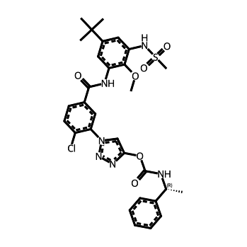 COc1c(NC(=O)c2ccc(Cl)c(-n3cc(OC(=O)N[C@H](C)c4ccccc4)nn3)c2)cc(C(C)(C)C)cc1NS(C)(=O)=O